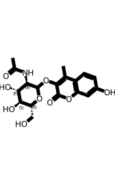 CC(=O)N[C@H]1C(Oc2c(C)c3ccc(O)cc3oc2=O)O[C@H](CO)[C@@H](O)[C@@H]1O